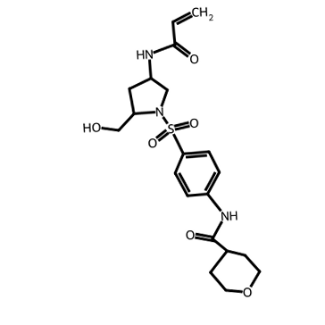 C=CC(=O)NC1CC(CO)N(S(=O)(=O)c2ccc(NC(=O)C3CCOCC3)cc2)C1